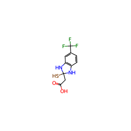 O=C(O)CC1(S)Nc2ccc(C(F)(F)F)cc2N1